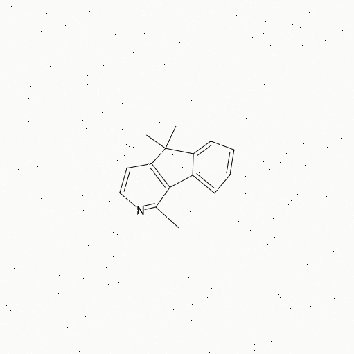 Cc1nccc2c1-c1ccccc1C2(C)C